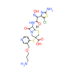 NCCCOCc1cnccc1SC1(C(=O)O)CS[C@@H]2[C@H](NC(=O)C(=NO)c3nc(N)sc3Cl)C(=O)N2C1